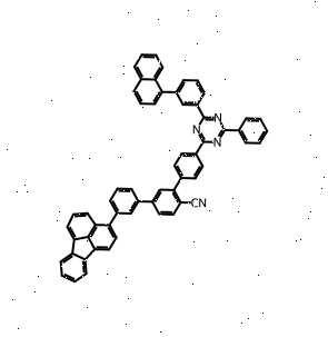 N#Cc1ccc(-c2cccc(-c3ccc4c5c(cccc35)-c3ccccc3-4)c2)cc1-c1ccc(-c2nc(-c3ccccc3)nc(-c3cccc(-c4cccc5ccccc45)c3)n2)cc1